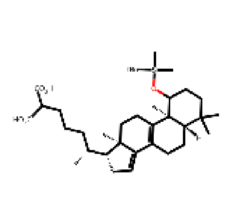 C[C@H](CCCC(C(=O)O)C(=O)O)[C@H]1CC=C2C3=C(CC[C@@]21C)[C@@]1(C)C(O[Si](C)(C)C(C)(C)C)CCC(C)(C)[C@@H]1CC3